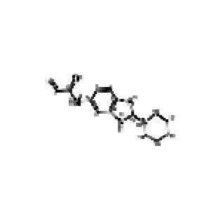 C=CC(=O)Nc1ccc2c(c1)NC(N1CCCCC1)S2